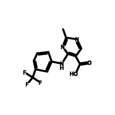 Cc1ncc(C(=O)O)c(Nc2cccc(C(F)(F)F)c2)n1